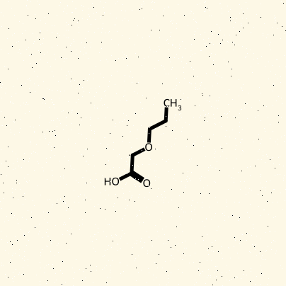 CCCO[CH]C(=O)O